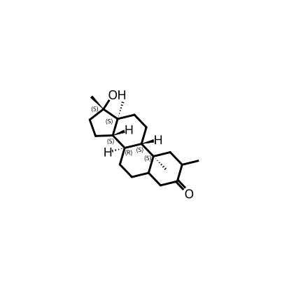 CC1C[C@@]2(C)C(CC[C@@H]3[C@@H]2CC[C@@]2(C)[C@H]3CC[C@]2(C)O)CC1=O